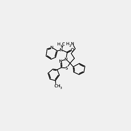 Cc1cccc(C2=NN(C(=O)N(C)c3ccccn3)C(CCCN)(c3ccccc3)S2)c1